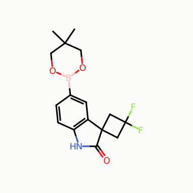 CC1(C)COB(c2ccc3c(c2)C2(CC(F)(F)C2)C(=O)N3)OC1